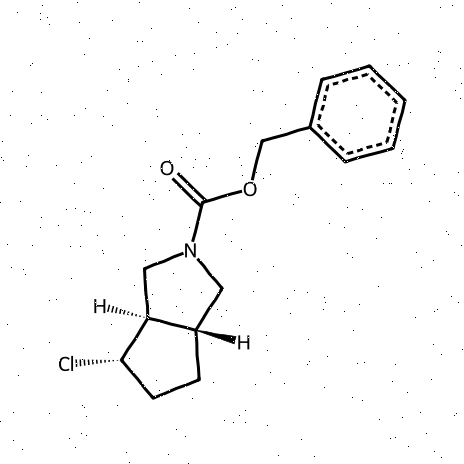 O=C(OCc1ccccc1)N1C[C@@H]2CC[C@H](Cl)[C@H]2C1